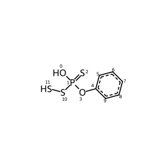 OP(=S)(Oc1ccccc1)SS